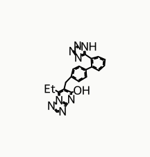 CCc1c(Cc2ccc(-c3ccccc3-c3nnn[nH]3)cc2)c(O)nc2ncnn12